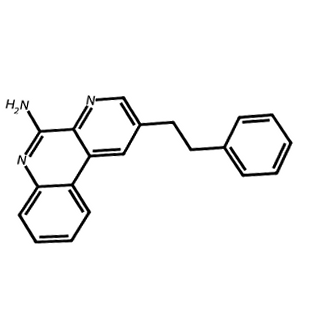 Nc1nc2ccccc2c2cc(CCc3ccccc3)cnc12